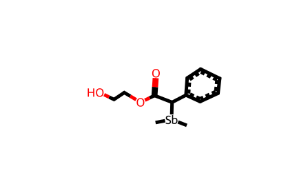 [CH3][Sb]([CH3])[CH](C(=O)OCCO)c1ccccc1